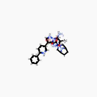 CC(=O)c1c(N2C3CCC2CN(C(=O)CO)C3)nc2c(-c3ccc(-c4ccccc4)nc3)cnn2c1N